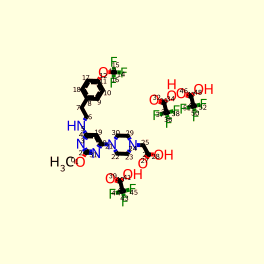 COc1nc(NCCc2ccc(OC(F)(F)F)cc2)cc(N2CCN(CC(=O)O)CC2)n1.O=C(O)C(F)(F)F.O=C(O)C(F)(F)F.O=C(O)C(F)(F)F